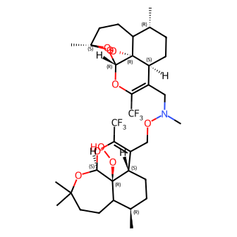 C[C@@H]1CC[C@H]2C(CON(C)CC3=C(C(F)(F)F)O[C@@H]4O[C@]5(C)CCC6[C@H](C)CC[C@@H]3[C@]64OO5)=C(C(F)(F)F)O[C@@H]3OC(C)(C)CCC1[C@]32OO